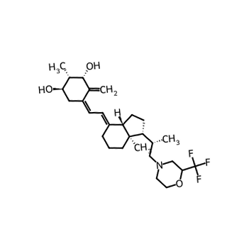 C=C1/C(=C\C=C2/CCC[C@]3(C)[C@@H]([C@H](C)CN4CCOC(C(F)(F)F)C4)CC[C@@H]23)C[C@@H](O)[C@H](C)[C@@H]1O